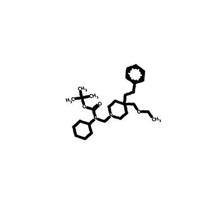 CCOCC1(CCc2ccccc2)CCN(CN(C(=O)OC(C)(C)C)C2CCCCC2)CC1